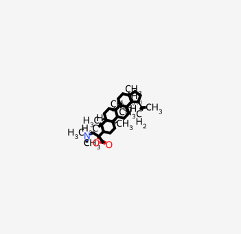 C=C(C)[C@@H]1CC[C@]2(C)CC[C@]3(C)[C@H](CCC4[C@@]5(C)CCC(C6(CN(C)C)OC6=O)C(C)(C)[C@@H]5CC[C@]43C)[C@@H]12